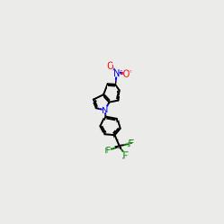 O=[N+]([O-])c1ccc2c(ccn2-c2ccc(C(F)(F)F)cc2)c1